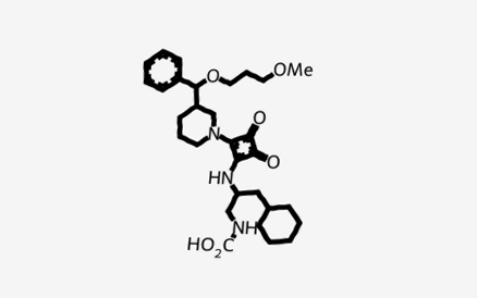 COCCCOC(c1ccccc1)C1CCCN(c2c(NC(CNC(=O)O)CC3CCCCC3)c(=O)c2=O)C1